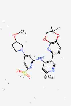 CC(=O)Nc1cc(Nc2cc(N3CCC(OC(F)(F)F)C3)cc(S(C)(=O)=O)n2)c(-c2ccc3c(n2)OCC(C)(C)O3)cn1